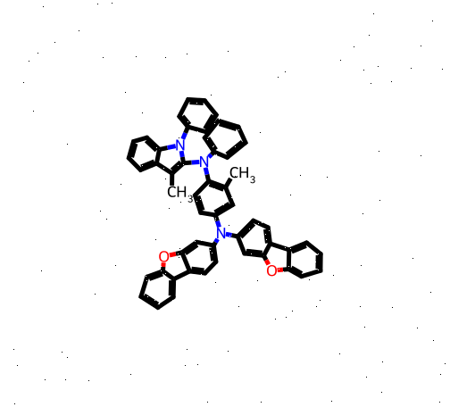 Cc1cc(N(c2ccc3c(c2)oc2ccccc23)c2ccc3c(c2)oc2ccccc23)ccc1N(c1ccccc1)c1c(C)c2ccccc2n1-c1ccccc1